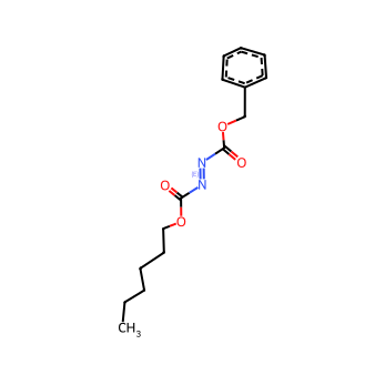 CCCCCCOC(=O)/N=N/C(=O)OCc1ccccc1